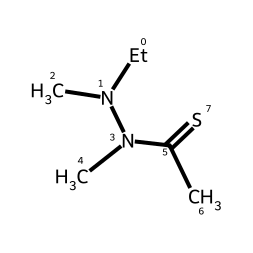 CCN(C)N(C)C(C)=S